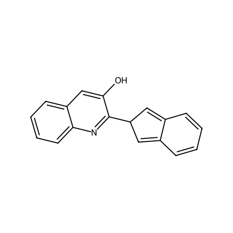 Oc1cc2ccccc2nc1C1C=c2ccccc2=C1